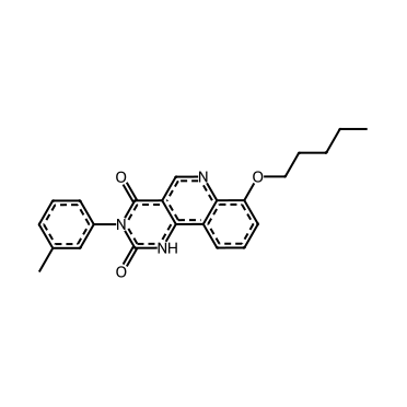 CCCCCOc1cccc2c1ncc1c(=O)n(-c3cccc(C)c3)c(=O)[nH]c12